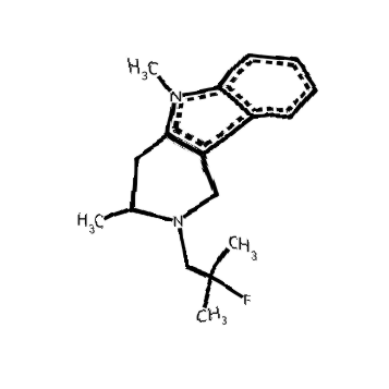 CC1Cc2c(c3ccccc3n2C)CN1CC(C)(C)F